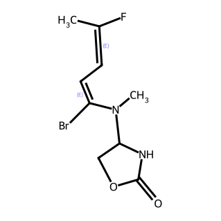 C/C(F)=C\C=C(\Br)N(C)C1COC(=O)N1